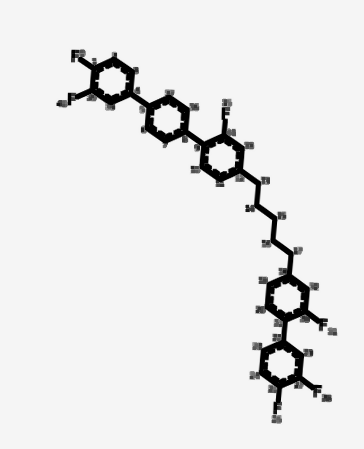 Fc1ccc(-c2ccc(-c3ccc(CCCCCc4ccc(-c5ccc(F)c(F)c5)c(F)c4)cc3F)cc2)cc1F